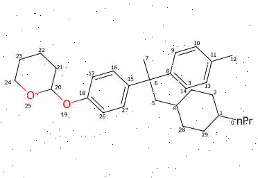 CCCC1CCC(CC(C)(c2ccc(C)cc2)c2ccc(OC3CCCCO3)cc2)CC1